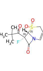 CC(C)(C)C(=O)[C@]1(F)C(=O)N2C=CCS(=O)(=O)[C@H]21